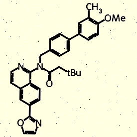 COc1ccc(-c2ccc(CN(C(=O)CC(C)(C)C)c3nccc4cc(-c5ncco5)ccc34)cc2)cc1C